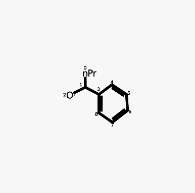 CCCC([O])c1[c]cccc1